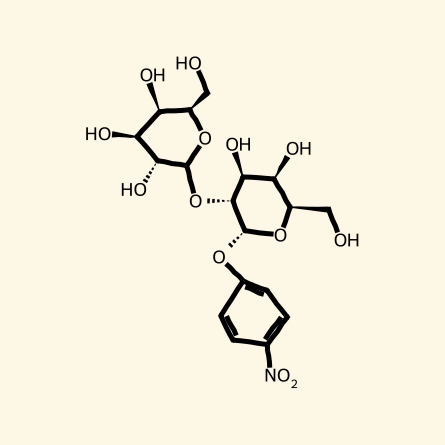 O=[N+]([O-])c1ccc(O[C@H]2O[C@H](CO)[C@H](O)[C@H](O)[C@H]2OC2O[C@H](CO)[C@H](O)[C@H](O)[C@H]2O)cc1